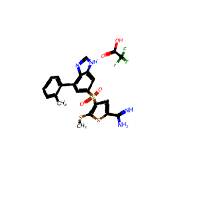 CSc1sc(C(=N)N)cc1S(=O)(=O)c1cc(-c2ccccc2C)c2nc[nH]c2c1.O=C(O)C(F)(F)F